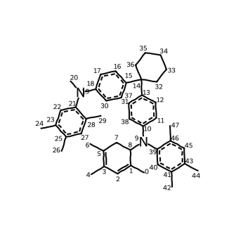 CC1=CC(C)=C(C)CC1N(c1ccc(C2(c3ccc(N(C)c4cc(C)c(C)cc4C)cc3)CCCCC2)cc1)c1cc(C)c(C)cc1C